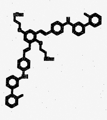 CCCCCCCCCCCCOc1cc(C=Cc2ccc(Nc3cccc(-c4ccccc4C)c3)cc2)c(OCCCCCCCCCCCC)c(C=Cc2ccc(Nc3cccc(-c4ccccc4C)c3)cc2)c1